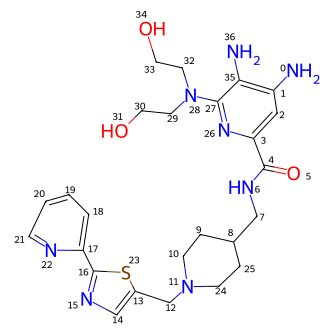 Nc1cc(C(=O)NCC2CCN(Cc3cnc(-c4ccccn4)s3)CC2)nc(N(CCO)CCO)c1N